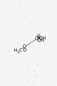 C=CC(=O)OCCCCCCCOP(=O)(O)O